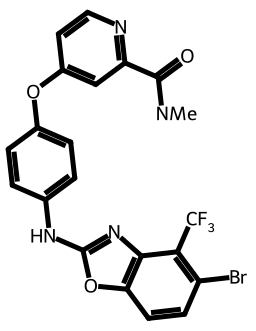 CNC(=O)c1cc(Oc2ccc(Nc3nc4c(C(F)(F)F)c(Br)ccc4o3)cc2)ccn1